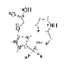 CCC1CCCCN1.O=C(O)COc1nnc(C(F)(F)F)s1